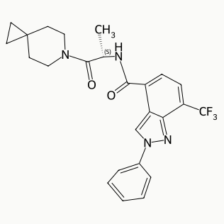 C[C@H](NC(=O)c1ccc(C(F)(F)F)c2nn(-c3ccccc3)cc12)C(=O)N1CCC2(CC1)CC2